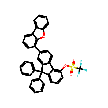 O=S(=O)(Oc1cccc2c1-c1ccc(-c3cccc4c3oc3ccccc34)cc1C2(c1ccccc1)c1ccccc1)C(F)(F)F